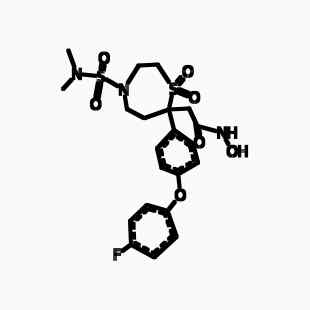 CN(C)S(=O)(=O)N1CCC(CC(=O)NO)(c2ccc(Oc3ccc(F)cc3)cc2)S(=O)(=O)CC1